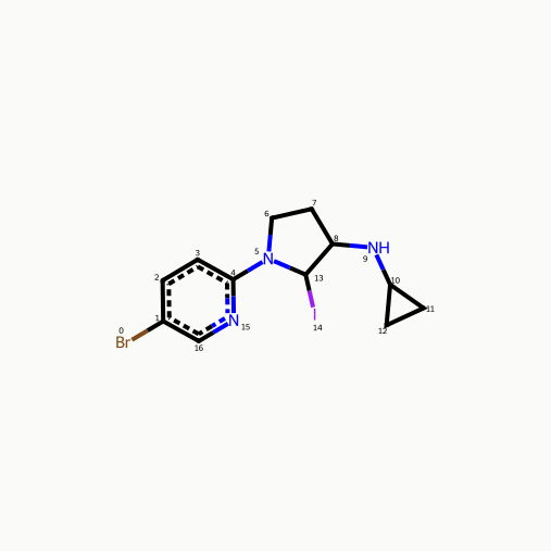 Brc1ccc(N2CCC(NC3CC3)C2I)nc1